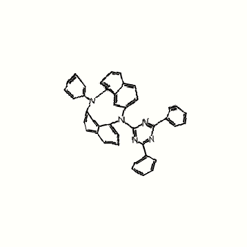 c1ccc(-c2nc(-c3ccccc3)nc(-n3c4ccc5cccc(c5c4)n(-c4ccccc4)c4ccc5cccc3c5c4)n2)cc1